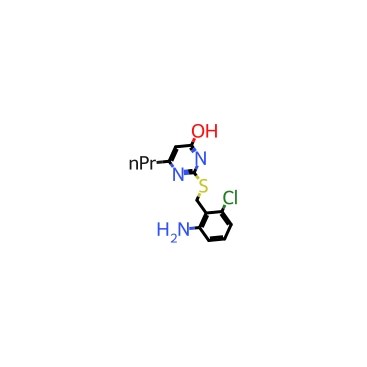 CCCc1cc(O)nc(SCc2c(N)cccc2Cl)n1